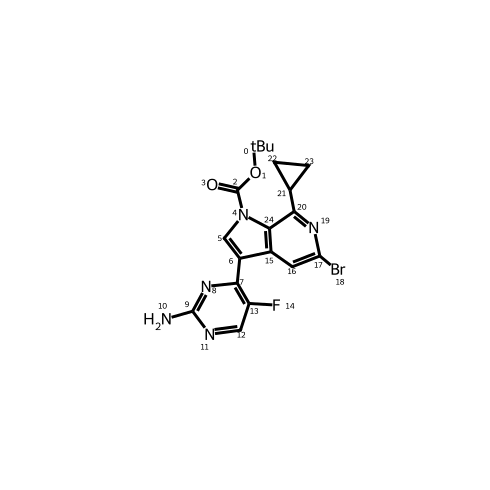 CC(C)(C)OC(=O)n1cc(-c2nc(N)ncc2F)c2cc(Br)nc(C3CC3)c21